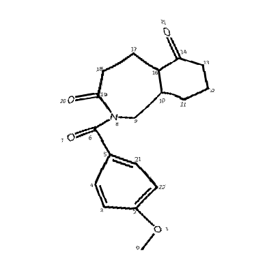 COc1ccc(C(=O)N2CC3CCCC(=O)C3CCC2=O)cc1